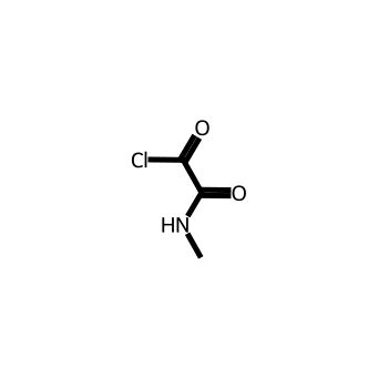 CNC(=O)C(=O)Cl